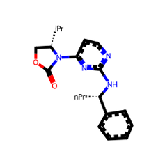 CCC[C@H](Nc1nccc(N2C(=O)OC[C@@H]2C(C)C)n1)c1ccccc1